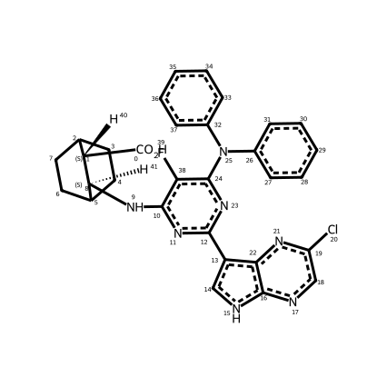 O=C(O)[C@H]1C2CCC(CC2)[C@@H]1Nc1nc(-c2c[nH]c3ncc(Cl)nc23)nc(N(c2ccccc2)c2ccccc2)c1F